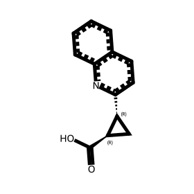 O=C(O)[C@@H]1C[C@H]1c1ccc2ccccc2n1